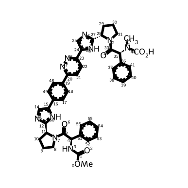 COC(=O)N[C@@H](C(=O)N1CCC[C@H]1c1ncc(-c2ccc(-c3ccc(-c4cnc([C@@H]5CCCN5C(=O)[C@@H](c5ccccc5)N(C)C(=O)O)[nH]4)nn3)cc2)[nH]1)c1ccccc1